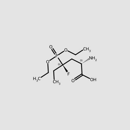 CCOP(=O)(OCC)[C@@](F)(CC)C[C@H](N)C(=O)O